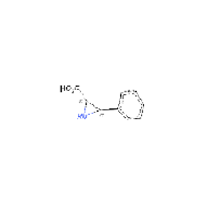 O=C(O)[C@H]1N[C@@H]1c1ccccc1